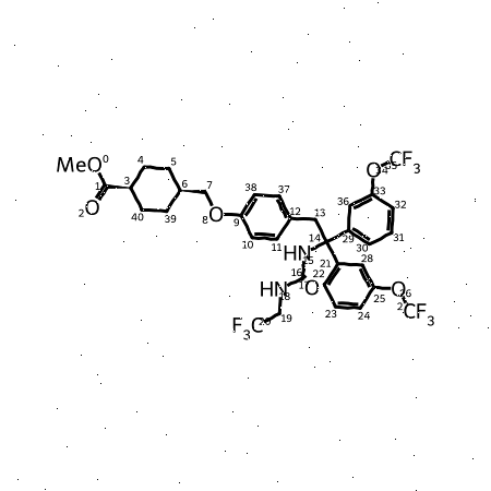 COC(=O)[C@H]1CC[C@@H](COc2ccc(CC(NC(=O)NCC(F)(F)F)(c3cccc(OC(F)(F)F)c3)c3cccc(OC(F)(F)F)c3)cc2)CC1